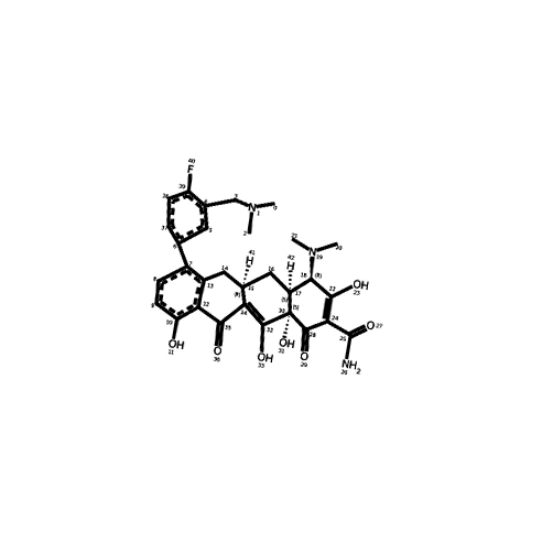 CN(C)Cc1cc(-c2ccc(O)c3c2C[C@H]2C[C@H]4[C@@H](N(C)C)C(O)=C(C(N)=O)C(=O)[C@@]4(O)C(O)=C2C3=O)ccc1F